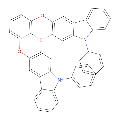 c1ccc(-n2c3ccccc3c3cc4c(cc32)B2c3cc5c(cc3Oc3cccc(c32)O4)c2ccccc2n5-c2ccccc2)cc1